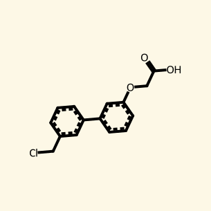 O=C(O)COc1cccc(-c2cccc(CCl)c2)c1